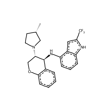 C[C@H]1CCN([C@H]2COc3ccccc3[C@@H]2Nc2cccc3[nH]c(C(F)(F)F)cc23)C1